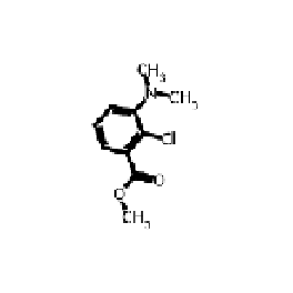 COC(=O)c1cccc(N(C)C)c1Cl